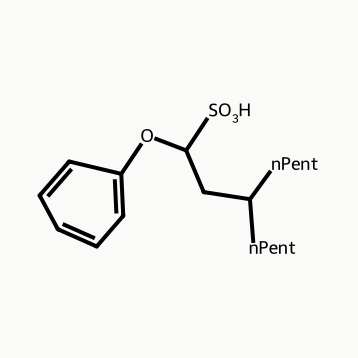 CCCCCC(CCCCC)CC(Oc1ccccc1)S(=O)(=O)O